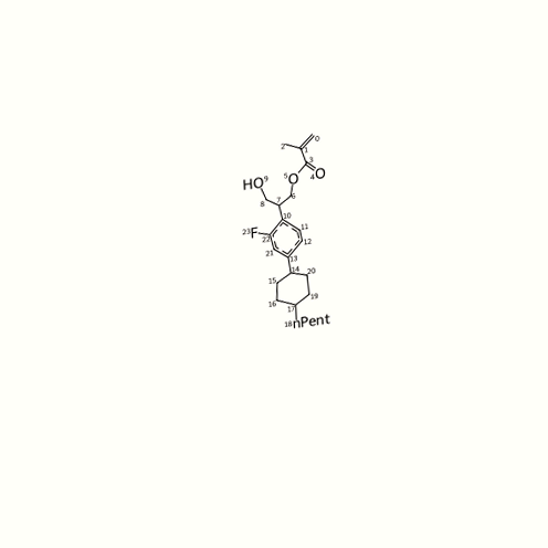 C=C(C)C(=O)OCC(CO)c1ccc(C2CCC(CCCCC)CC2)cc1F